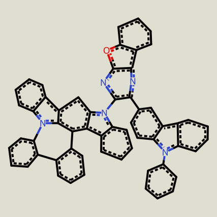 c1ccc(-n2c3ccccc3c3cc(-c4nc5c(nc4-n4c6ccccc6c6c7c8c(cc64)c4ccccc4n8-c4ccccc4-c4ccccc4-7)oc4ccccc45)ccc32)cc1